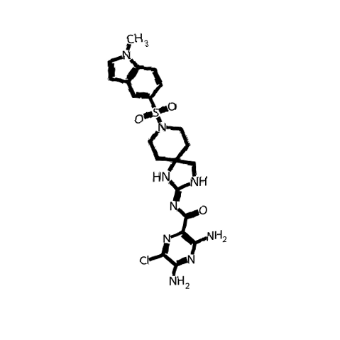 Cn1ccc2cc(S(=O)(=O)N3CCC4(CC3)CN/C(=N\C(=O)c3nc(Cl)c(N)nc3N)N4)ccc21